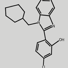 Oc1cc(Cl)ccc1-c1nc2ccccc2n1CC1CCCCC1